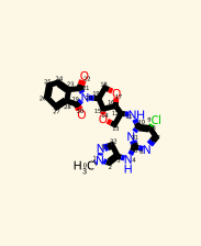 Cn1cc(Nc2ncc(Cl)c(NC3COC4C3OCC4N3C(=O)c4ccccc4C3=O)n2)cn1